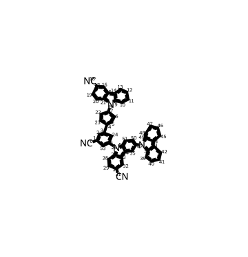 N#Cc1cc(-c2ccc(-n3c4ccccc4c4cc(C#N)ccc43)cc2)cc(-n2c3ccc(C#N)cc3c3cc(-n4c5ccccc5c5ccccc54)ccc32)c1